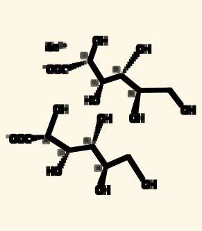 O=C([O-])[C@H](O)[C@@H](O)[C@H](O)[C@H](O)CO.O=C([O-])[C@H](O)[C@@H](O)[C@H](O)[C@H](O)CO.[Se+2]